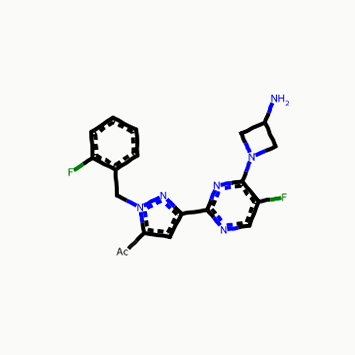 CC(=O)c1cc(-c2ncc(F)c(N3CC(N)C3)n2)nn1Cc1ccccc1F